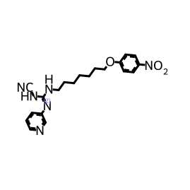 N#CN/C(=N\c1cccnc1)NCCCCCCCOc1ccc([N+](=O)[O-])cc1